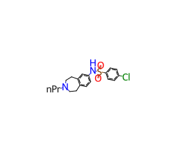 CCCN1CCc2ccc(NS(=O)(=O)c3ccc(Cl)cc3)cc2CC1